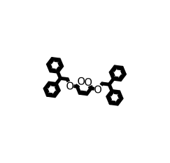 O=C(/C=C\C(=O)OCC(c1ccccc1)c1ccccc1)OCC(c1ccccc1)c1ccccc1